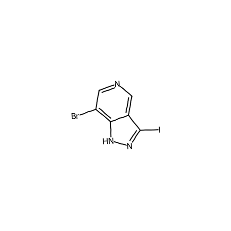 Brc1cncc2c(I)n[nH]c12